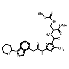 COC(=O)C(CNC(=O)OC(C)(C)C)[AsH]C(=O)c1sc(NC(=O)Cc2cccc3c2cnn3C2CCCCO2)nc1C